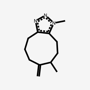 C=C1CCCc2nnn(C)c2CCC1C